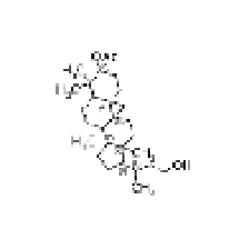 CC(=O)O[C@H]1CC[C@]23C[C@]24CC[C@]2(C)[C@@H]([C@H](C)CCO)CC[C@@]2(C)C4CCC3C1(C)C